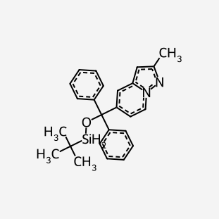 Cc1cc2cc(C(O[SiH2]C(C)(C)C)(c3ccccc3)c3ccccc3)ccn2n1